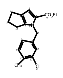 CCOC(=O)c1cc2c(n1Cc1ccc(Cl)c(Cl)c1)CCC2